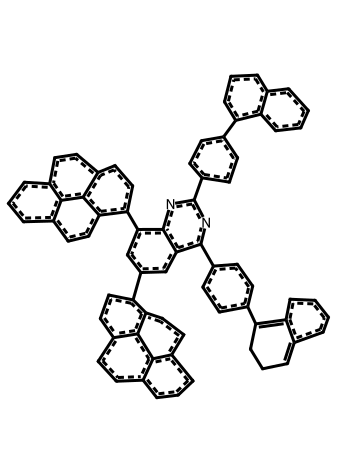 C1=c2ccccc2=C(c2ccc(-c3nc(-c4ccc(-c5cccc6ccccc56)cc4)nc4c(-c5ccc6ccc7cccc8ccc5c6c78)cc(-c5ccc6ccc7cccc8ccc5c6c78)cc34)cc2)CC1